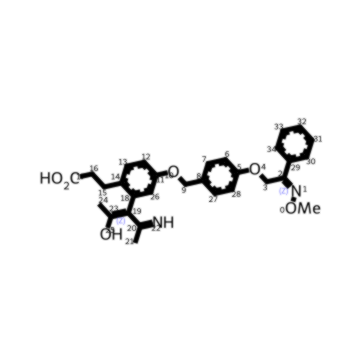 CO/N=C(\COc1ccc(COc2ccc(CCC(=O)O)c(/C(C(C)=N)=C(\C)O)c2)cc1)c1ccccc1